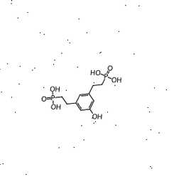 O=P(O)(O)CCc1cc(O)cc(CCP(=O)(O)O)c1